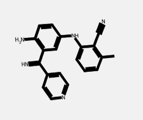 Cc1cccc(Nc2ccc(N)c(C(=N)c3ccncc3)c2)c1C#N